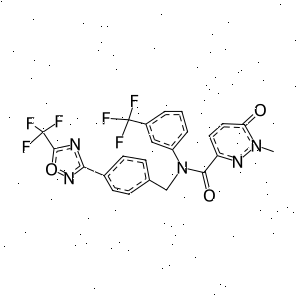 Cn1nc(C(=O)N(Cc2ccc(-c3noc(C(F)(F)F)n3)cc2)c2cccc(C(F)(F)F)c2)ccc1=O